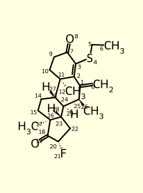 C=C1C2=C(SCC)C(=O)CC[C@]2(C)[C@H]2CC[C@]3(C)C(=O)[C@@H](F)C[C@H]3[C@@H]2[C@@H]1C